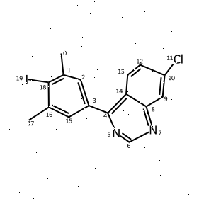 Cc1cc(-c2ncnc3cc(Cl)ccc23)cc(C)c1I